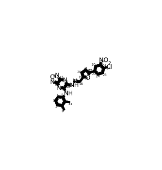 Cc1cccc(Nc2nc3nonc3nc2NN=Cc2ccc(-c3ccc(Cl)c([N+](=O)[O-])c3)o2)c1C